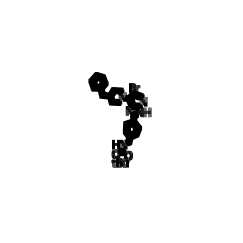 CC(C)(C)OC(=O)NCc1ccc(-c2nc3c(N4CCC(Cc5ccccc5)CC4)c(Br)cnc3[nH]2)cc1